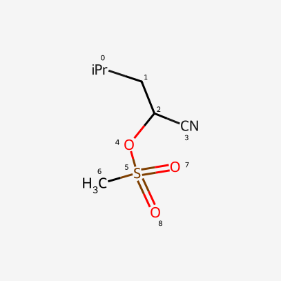 CC(C)CC(C#N)OS(C)(=O)=O